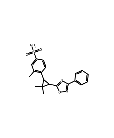 Cc1cc(S(N)(=O)=O)ccc1C1C(c2nc(-c3ccccc3)no2)C1(C)C